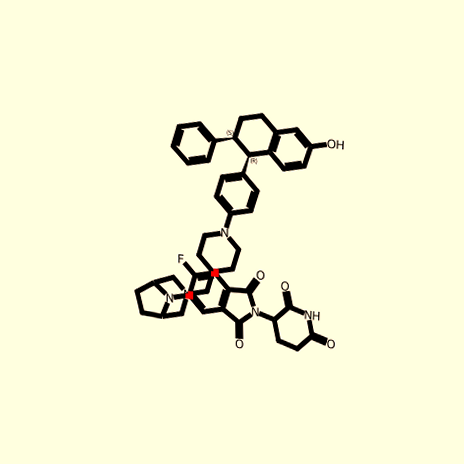 O=C1CCC(N2C(=O)c3cc(F)c(N4C5CCC4CN(CC4CCN(c6ccc([C@@H]7c8ccc(O)cc8CC[C@@H]7c7ccccc7)cc6)CC4)C5)cc3C2=O)C(=O)N1